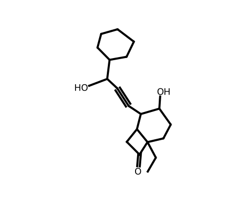 CCC12CCC(O)C(C#CC(O)C3CCCCC3)C1CC2=O